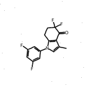 Cc1cn(-c2cc(F)cc(F)c2)c2c1C(=O)C(F)(F)CC2